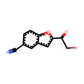 N#Cc1ccc2oc(C(=O)CBr)cc2c1